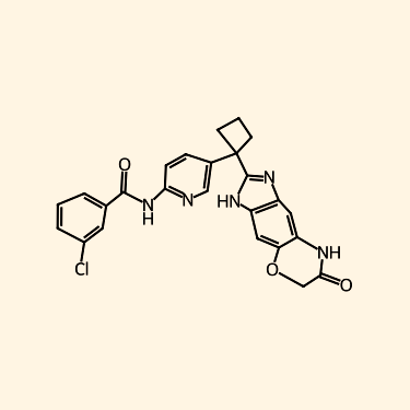 O=C1COc2cc3[nH]c(C4(c5ccc(NC(=O)c6cccc(Cl)c6)nc5)CCC4)nc3cc2N1